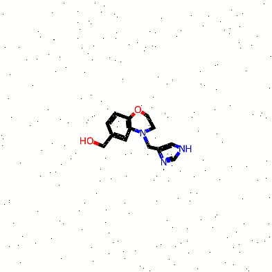 OCc1ccc2c(c1)N(Cc1c[nH]cn1)CCO2